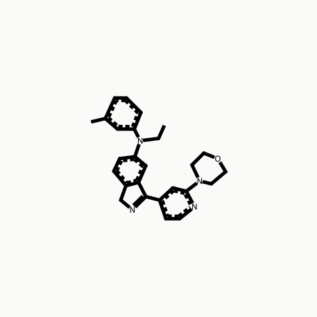 CCN(c1cccc(C)c1)c1ccc2c(c1)C(c1ccnc(N3CCOCC3)c1)=NC2